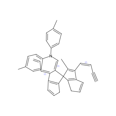 C#C/C=C\C1=C(C)C2(C3=C1C=CC3)C1=C(C=CC1)C(=C/C=C)/C2=C\N(c1ccc(C)cc1)c1ccc(C)cc1